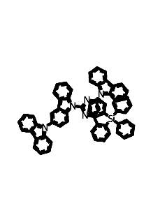 c1ccc([Si](c2ccccc2)(c2ccccc2)c2ccccc2-c2cc(-n3c4ccccc4c4ccccc43)nc(-n3c4ccccc4c4cc(-n5c6ccccc6c6ccccc65)ccc43)n2)cc1